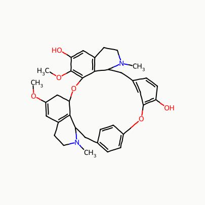 COC1=CC2=C3C(C1)Oc1c(OC)c(O)cc4c1C(Cc1ccc(O)c(c1)Oc1ccc(cc1)CC3N(C)CC2)N(C)CC4